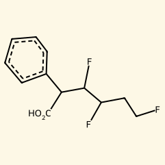 O=C(O)C(c1ccccc1)C(F)C(F)CCF